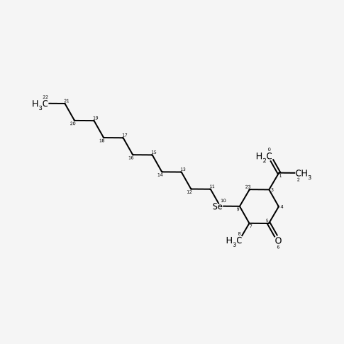 C=C(C)C1CC(=O)C(C)C([Se]CCCCCCCCCCCC)C1